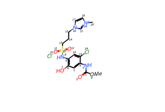 COC(=O)Nc1cc(O)c(NS(=O)(=O)CCCn2cc[n+](C)c2)cc1Cl.[Cl-]